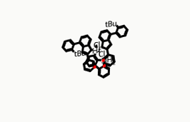 CC(C)(C)c1ccccc1-c1cccc2c1C=C(c1ccccc1)[CH]2[Hf]([Cl])([Cl])([c]1cccc2c1[SiH2]c1ccccc1-2)[CH]1C(c2ccccc2)=Cc2c(-c3ccccc3C(C)(C)C)cccc21